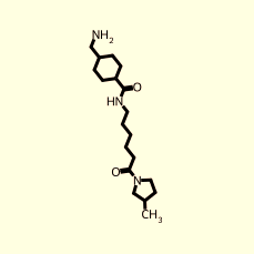 CC1CCN(C(=O)CCCCCNC(=O)C2CCC(CN)CC2)C1